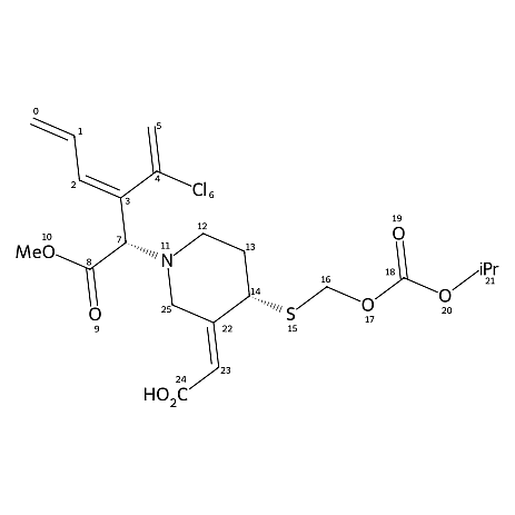 C=C/C=C(\C(=C)Cl)[C@@H](C(=O)OC)N1CC[C@H](SCOC(=O)OC(C)C)/C(=C/C(=O)O)C1